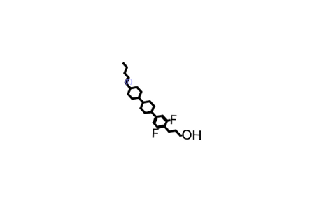 CCC/C=C/C1CCC(C2CCC(c3cc(F)c(CCCO)c(F)c3)CC2)CC1